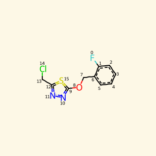 Fc1ccccc1COc1nnc(CCl)s1